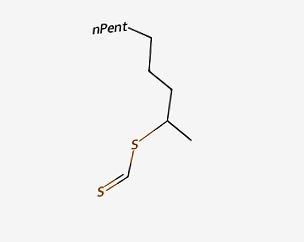 CCCCCCCCC(C)SC=S